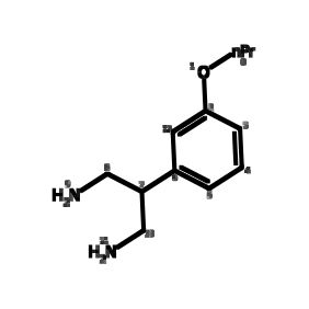 CCCOc1cccc(C(CN)CN)c1